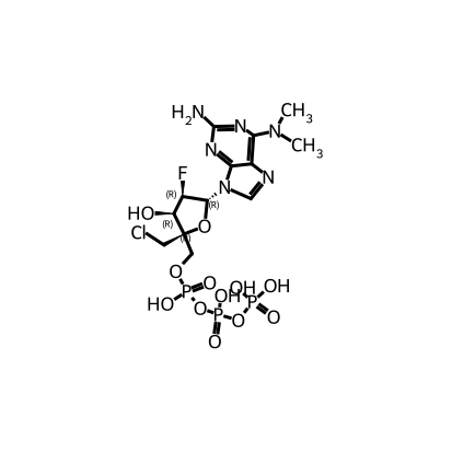 CN(C)c1nc(N)nc2c1ncn2[C@@H]1O[C@](CCl)(COP(=O)(O)OP(=O)(O)OP(=O)(O)O)[C@@H](O)[C@H]1F